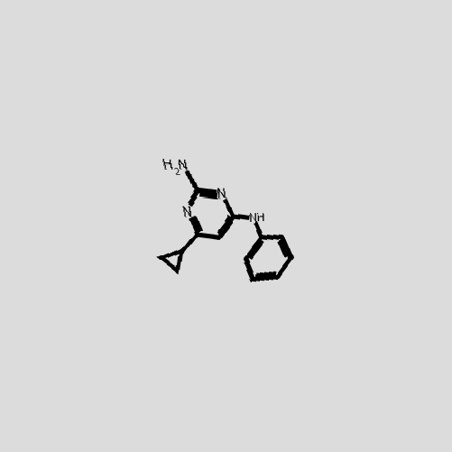 Nc1nc(Nc2ccccc2)cc(C2CC2)n1